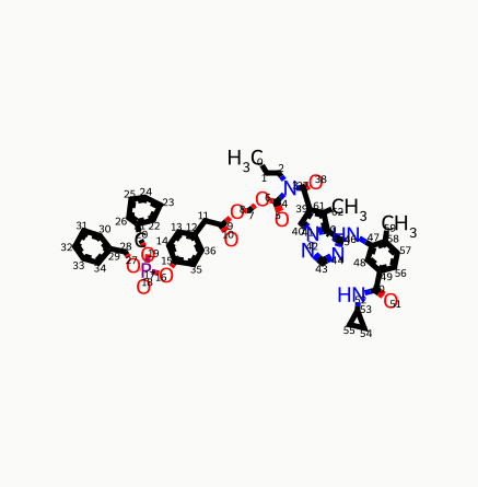 CCCN(C(=O)OCOC(=O)Cc1ccc(OP(=O)(OCc2ccccc2)OCc2ccccc2)cc1)C(=O)c1cn2ncnc(Nc3cc(C(=O)NC4CC4)ccc3C)c2c1C